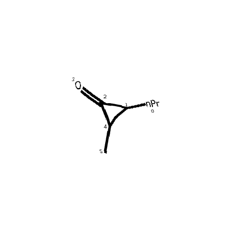 CCCC1C(=O)C1C